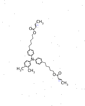 C/C=C/C(=O)OCCCCCc1ccc(N(c2ccc(CCCCCOC(=O)/C=C/C)cc2)c2ccc(C)c(C)c2)cc1